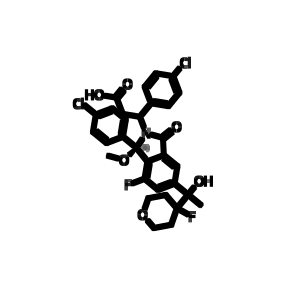 CO[C@]1(c2ccc(Cl)cc2)c2c(F)cc(C(C)(O)C3(F)CCOCC3)cc2C(=O)N1C(CC(=O)O)c1ccc(Cl)cc1